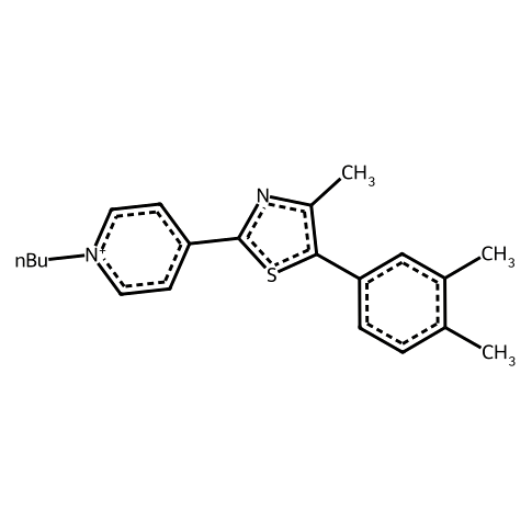 CCCC[n+]1ccc(-c2nc(C)c(-c3ccc(C)c(C)c3)s2)cc1